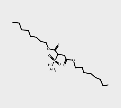 CCCCCCCCOC(=O)CC(C(=O)OCCCCCCCC)S(=O)(=O)O.[AlH3]